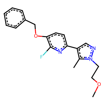 COCCn1ncc(-c2ccc(OCc3ccccc3)c(F)n2)c1C